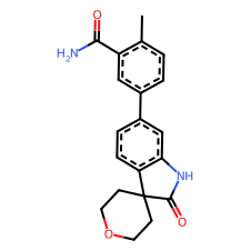 Cc1ccc(-c2ccc3c(c2)NC(=O)C32CCOCC2)cc1C(N)=O